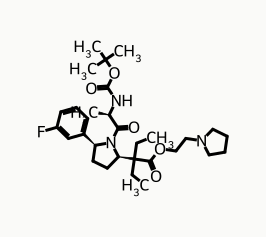 CCC(CC)(C(=O)OCCN1CCCC1)[C@H]1CC[C@@H](c2cccc(F)c2)N1C(=O)[C@@H](C)NC(=O)OC(C)(C)C